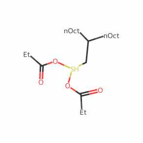 CCCCCCCCC(CCCCCCCC)C[SH](OC(=O)CC)OC(=O)CC